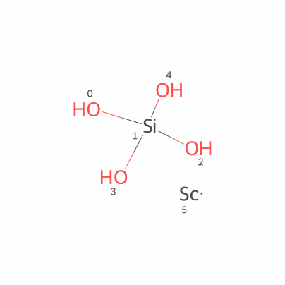 O[Si](O)(O)O.[Sc]